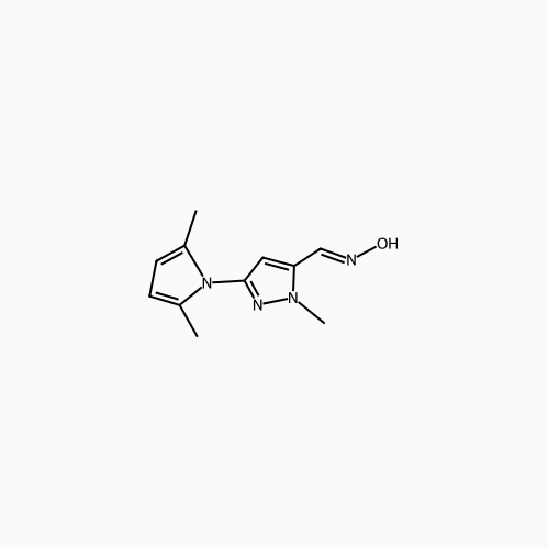 Cc1ccc(C)n1-c1cc(C=NO)n(C)n1